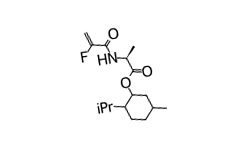 C=C(F)C(=O)N[C@@H](C)C(=O)OC1CC(C)CCC1C(C)C